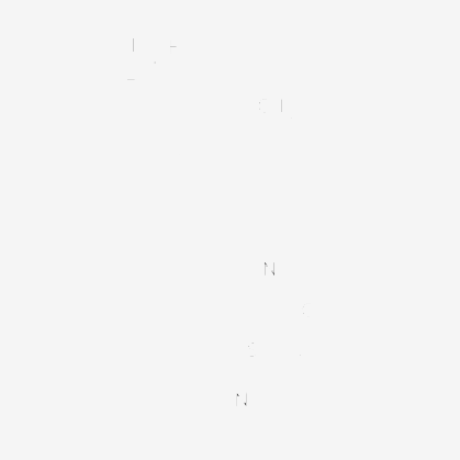 CCc1cc(-c2ccc3ccc(-c4ccc(-c5cccc6c5sc5ncccc56)nc4)cc3c2)cc(C(F)(F)F)c1